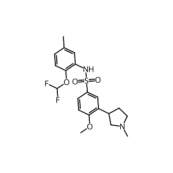 COc1ccc(S(=O)(=O)Nc2cc(C)ccc2OC(F)F)cc1C1CCN(C)C1